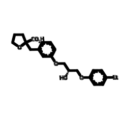 CCc1ccc(OC[C@H](O)COc2cccc(CC3(C(=O)O)CCCO3)c2)cc1